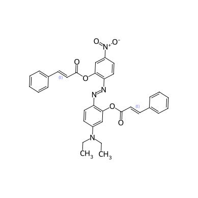 CCN(CC)c1ccc(N=Nc2ccc([N+](=O)[O-])cc2OC(=O)/C=C/c2ccccc2)c(OC(=O)/C=C/c2ccccc2)c1